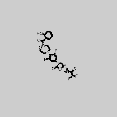 O=C(c1ccccc1O)N1CCN(c2c(F)cc(N3C[C@H](CNC(=S)C(F)F)OC3=O)cc2F)CCO1